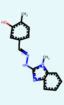 Cc1ccc(/C=N/Nc2nc3ccccc3n2C)cc1O